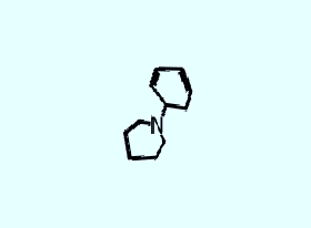 C1=CCC(N2CCCCC2)C=C1